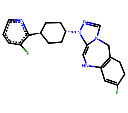 FC1=CC2=C(CC1)CN1C=NN([C@H]3CC[C@H](c4ncccc4F)CC3)C1=CN2